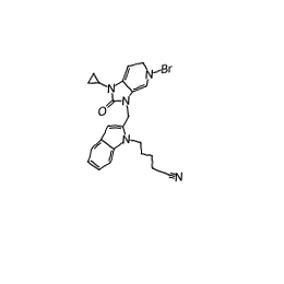 N#CCCCCn1c(Cn2c3c(n(C4CC4)c2=O)=CCN(Br)C=3)cc2ccccc21